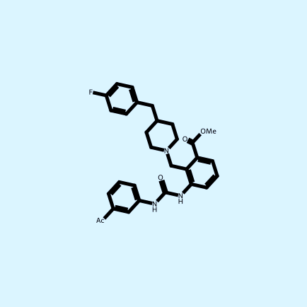 COC(=O)c1cccc(NC(=O)Nc2cccc(C(C)=O)c2)c1CN1CCC(Cc2ccc(F)cc2)CC1